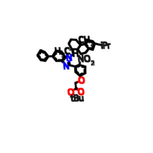 CC(C)c1ccc2c(c1)CC[C@H]1[C@@](C)(Cn3c(-c4cc(OCC(=O)OC(C)(C)C)ccc4[N+](=O)[O-])nc4cc(-c5ccccc5)ccc43)CCC[C@]21C